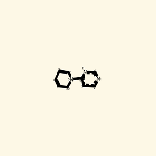 [c]1nccc(N2C=CC=CC2)n1